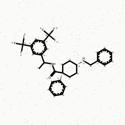 CC(NC(=O)[C@]1(c2ccccc2)CC[C@@H](NCc2ccccc2)CC1)c1cc(C(F)(F)F)cc(C(F)(F)F)c1